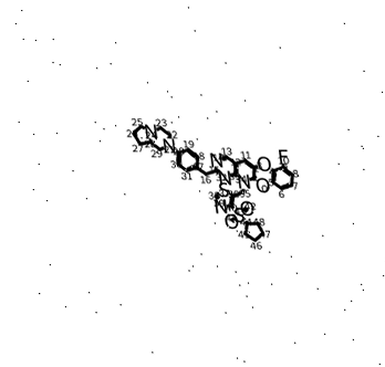 O=c1c(Oc2ccccc2F)cc2cnc(Cc3ccc(N4CCN5CCCC5C4)cc3)nc2n1Cc1scnc1S(=O)(=O)C1CCCC1